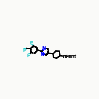 CCCCCC1CCC(c2cnc(-c3cc(F)c(CF)c(F)c3)nc2)CC1